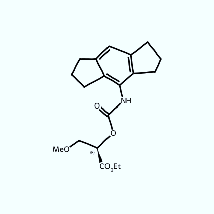 CCOC(=O)[C@@H](COC)OC(=O)Nc1c2c(cc3c1CCC3)CCC2